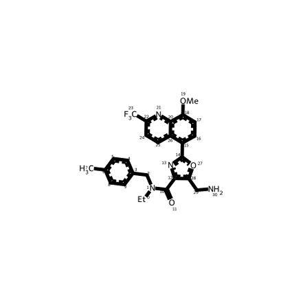 CCN(Cc1ccc(C)cc1)C(=O)c1nc(-c2ccc(OC)c3nc(C(F)(F)F)ccc23)oc1CN